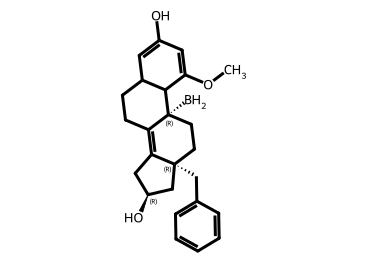 B[C@]12CC[C@@]3(Cc4ccccc4)C[C@@H](O)CC3=C1CCC1C=C(O)C=C(OC)C12